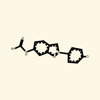 CC(C)C(=O)Nc1ccc2cn(-c3ccc(Cl)cc3)nc2c1